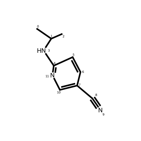 CC(C)Nc1ccc(C#N)cn1